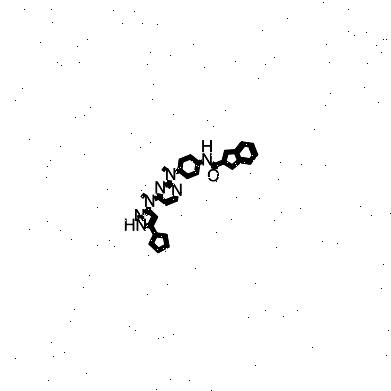 CN(c1cc(C2CCCC2)[nH]n1)c1ccnc(N(C)C2CCC(NC(=O)C3Cc4ccccc4C3)CC2)n1